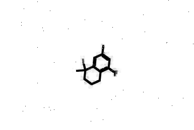 Cc1cc(F)c2c(c1)C(C)(I)CCC2